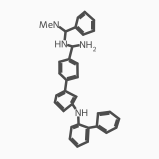 CNC(NC(N)c1ccc(-c2cccc(Nc3ccccc3-c3ccccc3)c2)cc1)c1ccccc1